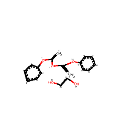 C=C(OC(=C)Oc1ccccc1)Oc1ccccc1.OCCO